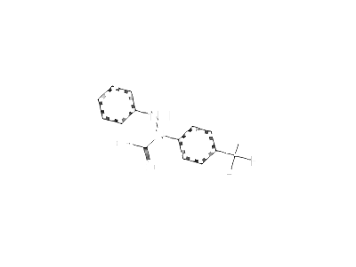 O=C(Cl)N(Nc1ccccc1)c1ccc(C(F)(F)F)cc1